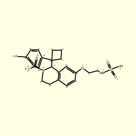 CCCS(=O)(=O)NCCOc1ccc2c(c1)C(C1(c3ccc(F)cc3)CCC1)N(C(=O)C(F)(F)F)CC2